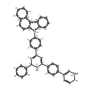 C1=CC(c2ccc(C3=CC(c4ccc(-n5c6ccccc6c6c7ccccc7ccc65)cc4)=NC(c4ccccc4)N3)cc2)=CNC1